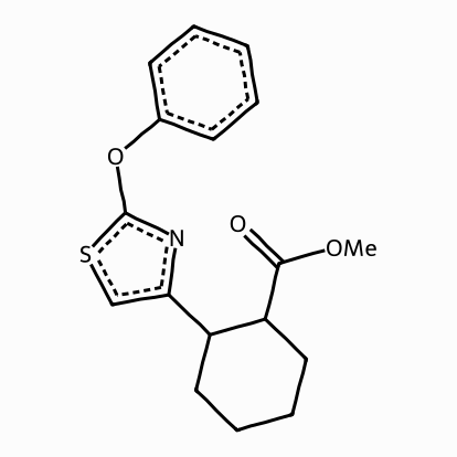 COC(=O)C1CCCCC1c1csc(Oc2ccccc2)n1